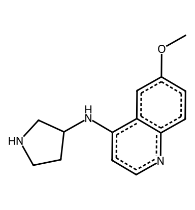 COc1ccc2nccc(NC3CCNC3)c2c1